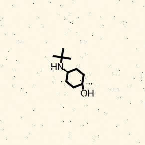 CC(C)(C)N[C@H]1CC[C@@](C)(O)CC1